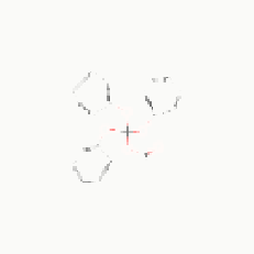 CCC(=O)OC(Oc1ccccc1)(Oc1ccccc1)Oc1ccccc1